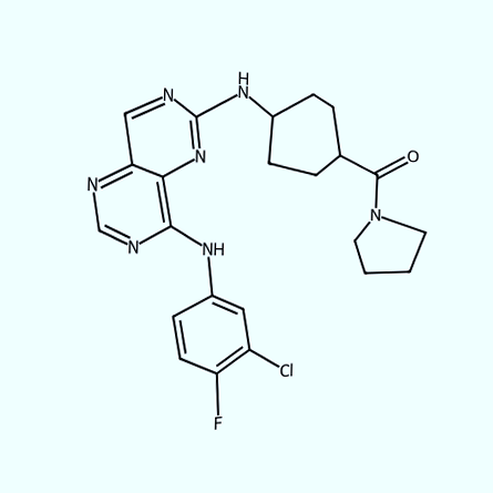 O=C(C1CCC(Nc2ncc3ncnc(Nc4ccc(F)c(Cl)c4)c3n2)CC1)N1CCCC1